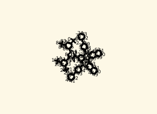 CC(C)(C)c1cc(-c2cc(-c3cc(C(C)(C)C)cc(C(C)(C)C)c3)nc(-c3cc4c5c(c3)N(c3ccc(-c6ccccc6)cc3)c3cc6ccccc6cc3B5c3cc5ccccc5cc3N4c3ccc(-c4ccccc4)cc3)n2)cc(C(C)(C)C)c1